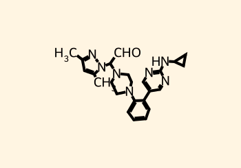 Cc1cc(C)n(C(C=O)N2CCN(c3ccccc3-c3cnc(NC4CC4)nc3)CC2)n1